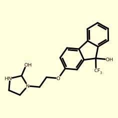 OC1NCCN1CCOc1ccc2c(c1)C(O)(C(F)(F)F)c1ccccc1-2